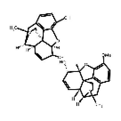 CN1CC[C@]23c4c5ccc(O)c4O[C@H]2[C@@H](O)C=C[C@H]3[C@H]1C5.COc1ccc2c3c1O[C@H]1[C@@H](O)C=C[C@H]4[C@@H](C2)N(C)CC[C@@]341